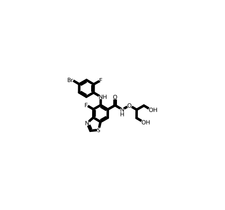 O=C(NOC(CO)CO)c1cc2scnc2c(F)c1Nc1ccc(Br)cc1F